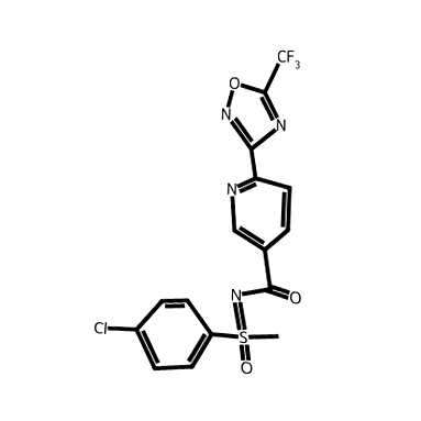 CS(=O)(=NC(=O)c1ccc(-c2noc(C(F)(F)F)n2)nc1)c1ccc(Cl)cc1